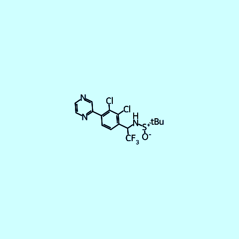 CC(C)(C)[S@+]([O-])NC(c1ccc(-c2cnccn2)c(Cl)c1Cl)C(F)(F)F